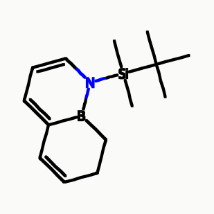 CC(C)(C)[Si](C)(C)N1C=CC=C2C=CCCB21